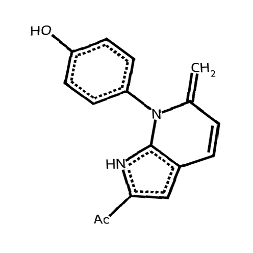 C=C1C=Cc2cc(C(C)=O)[nH]c2N1c1ccc(O)cc1